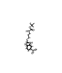 CC(C)(C)OC(=O)NCCCSc1nc2ccc([N+](=O)[O-])cc2[nH]1